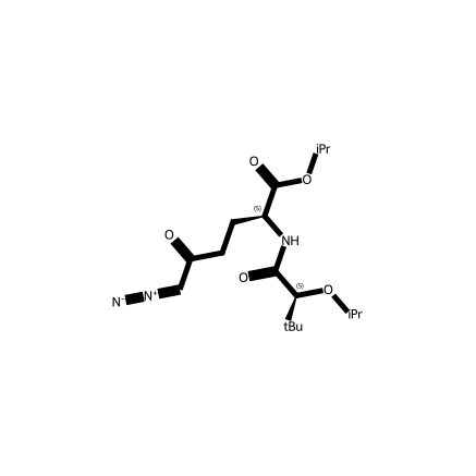 CC(C)OC(=O)[C@H](CCC(=O)C=[N+]=[N-])NC(=O)[C@@H](OC(C)C)C(C)(C)C